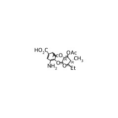 CC[C@H]1O[C@@H](Oc2ccc(C(=O)O)cc2N)[C@H](OC(C)=O)[C@@H](OC(C)=O)[C@@H]1C